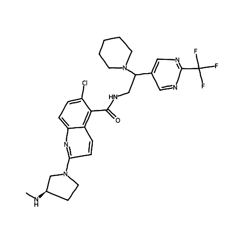 CN[C@@H]1CCN(c2ccc3c(C(=O)NCC(c4cnc(C(F)(F)F)nc4)N4CCCCC4)c(Cl)ccc3n2)C1